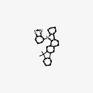 CC1(C)c2ccccc2-c2cc3ccc4c5ccccc5n(-c5cccc6scnc56)c4c3cc21